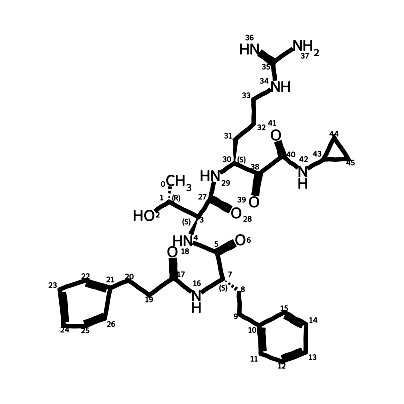 C[C@@H](O)[C@H](NC(=O)[C@H](CCc1ccccc1)NC(=O)CCc1ccccc1)C(=O)N[C@@H](CCCNC(=N)N)C(=O)C(=O)NC1CC1